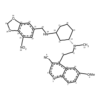 COc1ccc2ncc(C#N)c(CCN(C)[C@H]3CCCC(NCc4cc5c(c([N+](=O)[O-])c4)OCO5)C3)c2c1